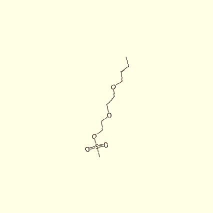 CCCCOCCOCCOS(C)(=O)=O